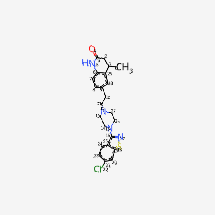 CC1CC(=O)Nc2ccc(CCN3CCN(c4nsc5cc(Cl)ccc45)CC3)cc21